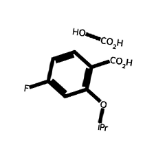 CC(C)Oc1cc(F)ccc1C(=O)O.O=C(O)O